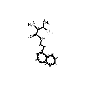 CC(C)C(C)C(=O)NCCc1cccc2ccccc12